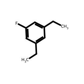 CCc1[c]c(F)cc(CC)c1